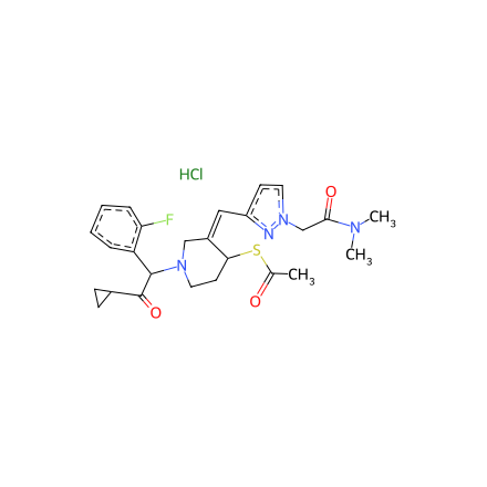 CC(=O)SC1CCN(C(C(=O)C2CC2)c2ccccc2F)CC1=Cc1ccn(CC(=O)N(C)C)n1.Cl